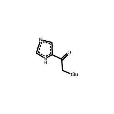 CC(C)(C)CC(=O)c1cnc[nH]1